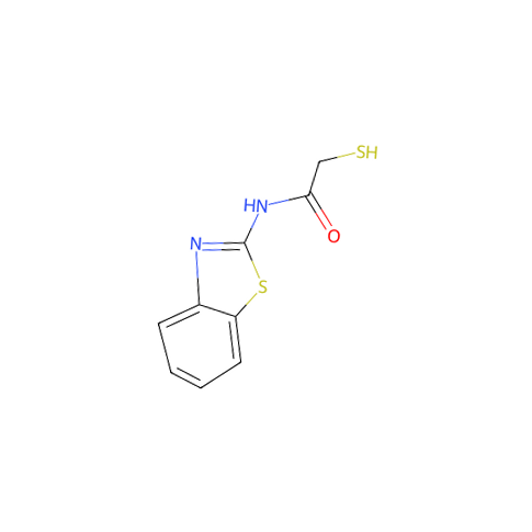 O=C(CS)Nc1nc2ccccc2s1